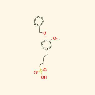 COc1cc(CCCCS(=O)(=O)O)ccc1OCc1ccccc1